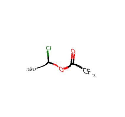 CCCCC(Cl)OC(=O)C(F)(F)F